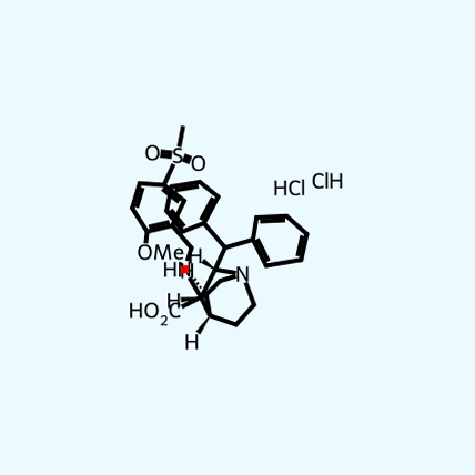 COc1ccc(S(C)(=O)=O)cc1CN[C@H]1[C@H]2CCN(C[C@@H]2C(=O)O)[C@H]1C(c1ccccc1)c1ccccc1.Cl.Cl